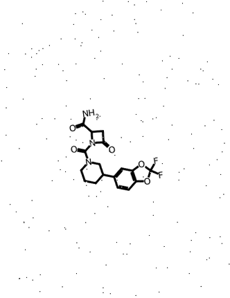 NC(=O)C1CC(=O)N1C(=O)N1CCCC(c2ccc3c(c2)OC(F)(F)O3)C1